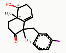 CC1(Cc2cccc(I)c2)C(=O)CC[C@@]2(C)C1=CCC[C@@H]2O